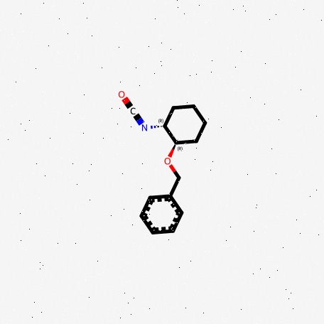 O=C=N[C@@H]1CCCC[C@H]1OCc1ccccc1